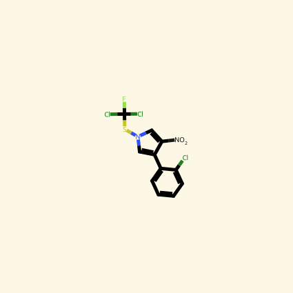 O=[N+]([O-])c1cn(SC(F)(Cl)Cl)cc1-c1ccccc1Cl